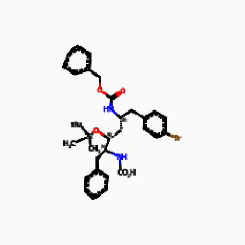 CC(C)(C)[Si](C)(C)O[C@H](C[C@@H](Cc1ccc(Br)cc1)NC(=O)OCc1ccccc1)[C@H](Cc1ccccc1)NC(=O)O